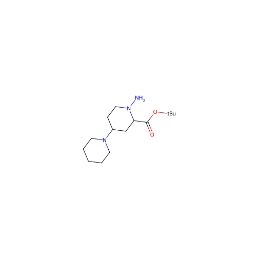 CC(C)(C)OC(=O)C1CC(N2CCCCC2)CCN1N